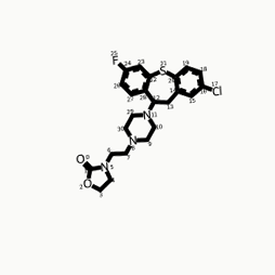 O=C1OCCN1CCN1CCN(C2Cc3cc(Cl)ccc3Sc3cc(F)ccc32)CC1